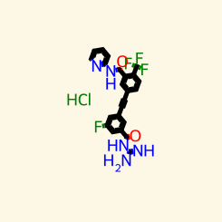 Cl.N=C(N)NC(=O)c1cc(F)cc(C#Cc2ccc(C(F)(F)F)c(C(=O)Nc3ccccn3)c2)c1